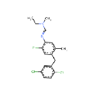 CCN(C)C=Nc1cc(C)c(Cc2cc(Cl)ccc2Cl)cc1Cl